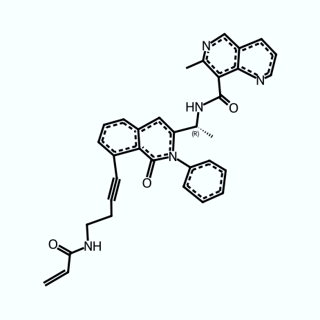 C=CC(=O)NCCC#Cc1cccc2cc([C@@H](C)NC(=O)c3c(C)ncc4cccnc34)n(-c3ccccc3)c(=O)c12